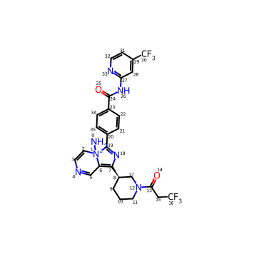 N[N+]12C=CN=CC1=C([C@@H]1CCCN(C(=O)CC(F)(F)F)C1)N=C2c1ccc(C(=O)Nc2cc(C(F)(F)F)ccn2)cc1